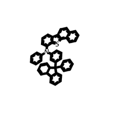 C1=CC2c3ccccc3C(c3ccccc3)(c3cccc(N(c4ccccc4)c4cccc5c4sc4c6ccccc6ccc54)c3)C2C=C1